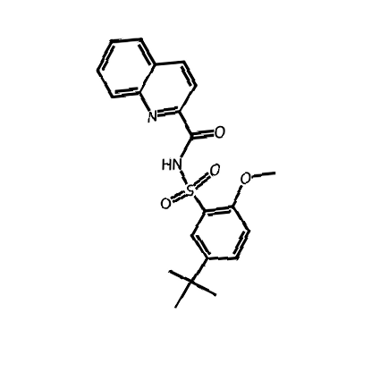 COc1ccc(C(C)(C)C)cc1S(=O)(=O)NC(=O)c1ccc2ccccc2n1